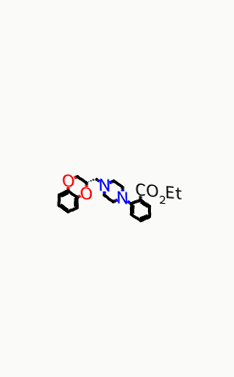 CCOC(=O)c1ccccc1N1CCN(C[C@H]2COc3ccccc3O2)CC1